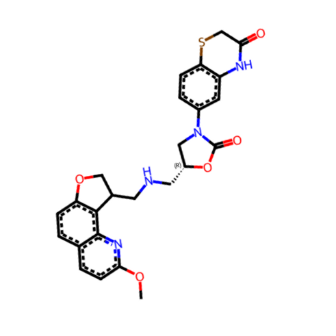 COc1ccc2ccc3c(c2n1)C(CNC[C@@H]1CN(c2ccc4c(c2)NC(=O)CS4)C(=O)O1)CO3